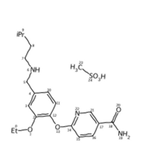 CCOc1cc(CNCCC(C)C)ccc1Oc1ccc(C(N)=O)cn1.CS(=O)(=O)O